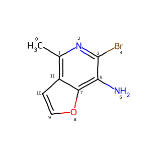 Cc1nc(Br)c(N)c2occc12